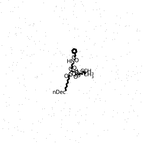 CCCCCCCCCCCCCCCCCC(=O)OC[C@H](COP(=O)([O-])OCC[N+](C)(C)C)OC(=O)CCNC(=O)OCc1ccccc1